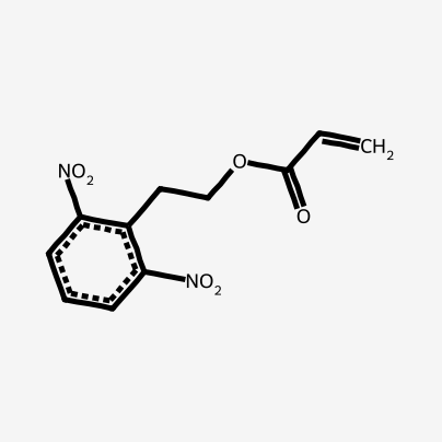 C=CC(=O)OCCc1c([N+](=O)[O-])cccc1[N+](=O)[O-]